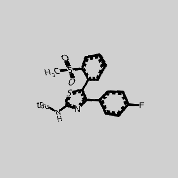 CC(C)(C)Nc1nc(-c2ccc(F)cc2)c(-c2ccccc2S(C)(=O)=O)s1